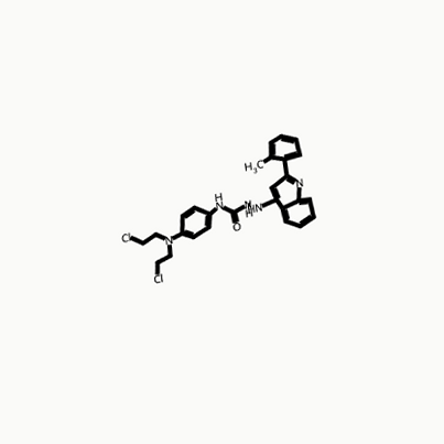 Cc1ccccc1-c1cc(NNC(=O)Nc2ccc(N(CCCl)CCCl)cc2)c2ccccc2n1